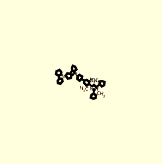 Cc1ccccc1-c1cc(-c2c(C)cc(-c3ccc(-n4c5ccccc5c5cc(-n6c7ccccc7c7ccccc76)ccc54)cc3)cc2C)nc(-c2ccccc2C)n1